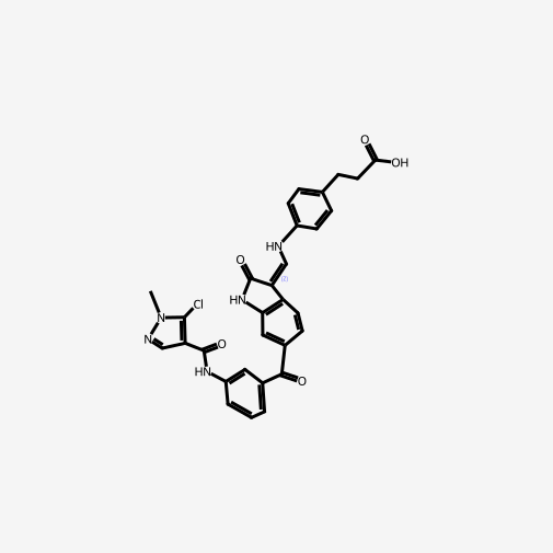 Cn1ncc(C(=O)Nc2cccc(C(=O)c3ccc4c(c3)NC(=O)/C4=C\Nc3ccc(CCC(=O)O)cc3)c2)c1Cl